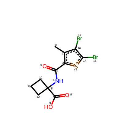 Cc1c(C(=O)NC2(C(=O)O)CCC2)sc(Br)c1Br